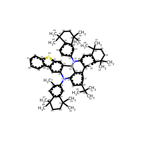 Cc1cc2c(cc1N1c3cc4c(cc3B3c5c(cc(C(C)(C)C)cc51)-c1cc5c(cc1N3c1ccc3c(c1)C(C)(C)CCC3(C)C)C(C)(C)CCC5(C)C)sc1ccccc14)C(C)(C)CCC2(C)C